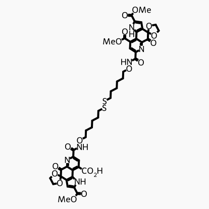 COC(=O)c1cc2c([nH]1)-c1c(C(=O)O)cc(C(=O)NOCCCCCCSSCCCCCCONC(=O)c3cc(C(=O)OC)c4c(n3)C(=O)C3(OCCO3)c3cc(C(=O)OC)[nH]c3-4)nc1C(=O)C21OCCO1